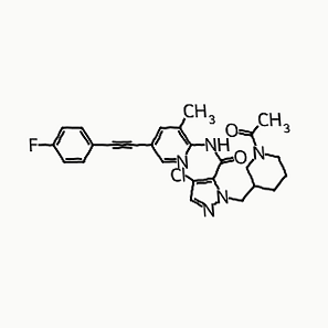 CC(=O)N1CCCC(Cn2ncc(Cl)c2C(=O)Nc2ncc(C#Cc3ccc(F)cc3)cc2C)C1